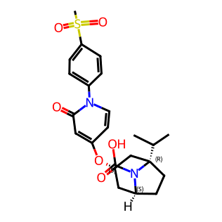 CC(C)[C@@]12CC[C@@H](C[C@H](Oc3ccn(-c4ccc(S(C)(=O)=O)cc4)c(=O)c3)C1)N2C(=O)O